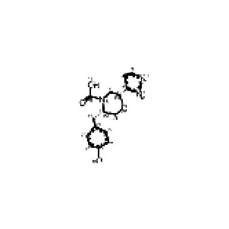 Cn1nccc1[C@H]1CN(C(=O)O)[C@@H](Cc2ccc(Cl)cc2)CO1